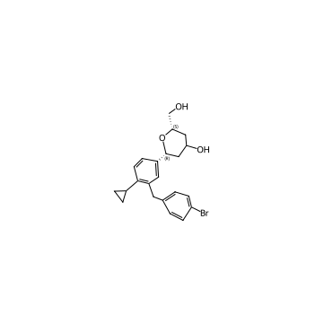 OC[C@@H]1CC(O)C[C@H](c2ccc(C3CC3)c(Cc3ccc(Br)cc3)c2)O1